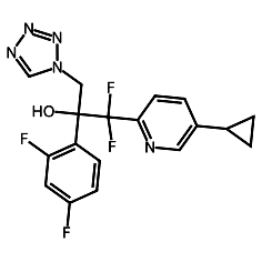 OC(Cn1cnnn1)(c1ccc(F)cc1F)C(F)(F)c1ccc(C2CC2)cn1